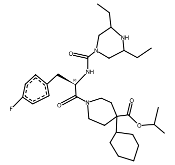 CCC1CN(C(=O)N[C@H](Cc2ccc(F)cc2)C(=O)N2CCC(C(=O)OC(C)C)(C3CCCCC3)CC2)CC(CC)N1